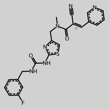 CN(Cc1csc(NC(=O)NCc2cccc(F)c2)n1)C(=O)/C(C#N)=C/c1cccnc1